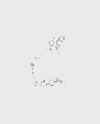 CC12CCC(OP(=O)(O)OCCOCCOP(=O)(O)OCC(O)COCCCNC(=O)c3ccc4c(c3)C3(OC4=O)c4ccc(O)cc4Oc4cc(O)ccc43)CC1CCC1C2CCC2(C)C1CCC21OC2CSSCC2O1